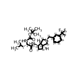 CC(C)C[C@H](NC(=O)OC(C)(C)C)C(=O)N[C@@H]1CC[C@@H]2CN(Cc3cccc(C(F)(F)F)c3)C[C@@H]21